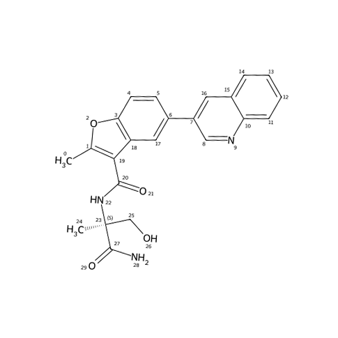 Cc1oc2ccc(-c3cnc4ccccc4c3)cc2c1C(=O)N[C@@](C)(CO)C(N)=O